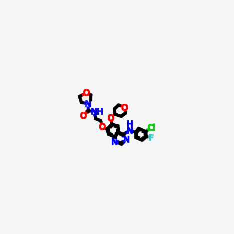 O=C(NCCOc1cc2ncnc(Nc3ccc(F)c(Cl)c3)c2cc1OC1CCOCC1)N1CCOCC1